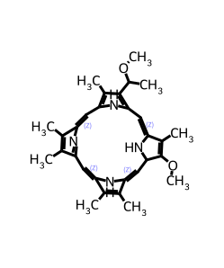 COC1=C(C)/C2=C/c3[nH]c(c(C)c3C(C)OC)/C=C3N=C(/C=c4\[nH]/c(c(C)c4C)=C\C1N2)C(C)=C\3C